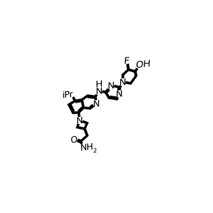 CC(C)c1ccc(N2CC(CC(N)=O)C2)c2cnc(Nc3ccnc(N4CCC(O)C(F)C4)n3)cc12